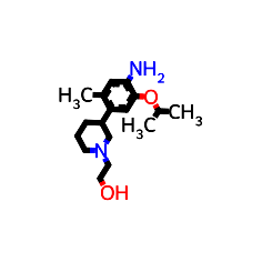 Cc1cc(N)c(OC(C)C)cc1C1CCCN(CCO)C1